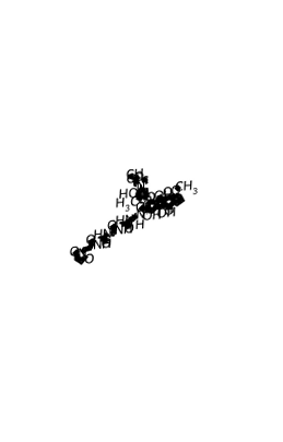 COc1cccc2c1C(=O)c1c(O)c3c(c(O)c1C2=O)C[C@@](O)(C(=O)NCCNC(=O)CNC(=O)CNC(=O)CNC(=O)CCN1C(=O)C=CC1=O)C[C@@H]3O[C@H]1C[C@H](N2CCO[C@H](OC)C2)[C@H](O)[C@H](C)O1